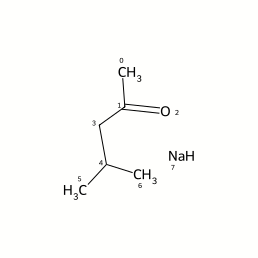 CC(=O)CC(C)C.[NaH]